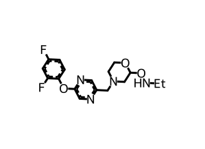 CCNOC1CN(Cc2cnc(Oc3ccc(F)cc3F)cn2)CCO1